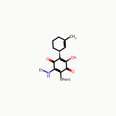 CCCCCC1=C(NCC)C(=O)C([C@@H]2C=C(C)CCC2)=C(O)C1=O